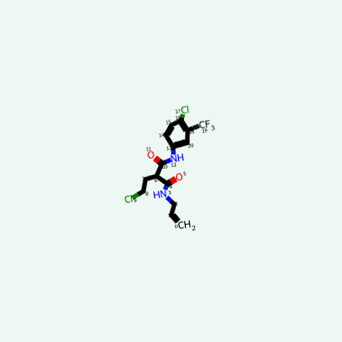 C=CCNC(=O)C(CCCl)C(=O)Nc1ccc(Cl)c(C(F)(F)F)c1